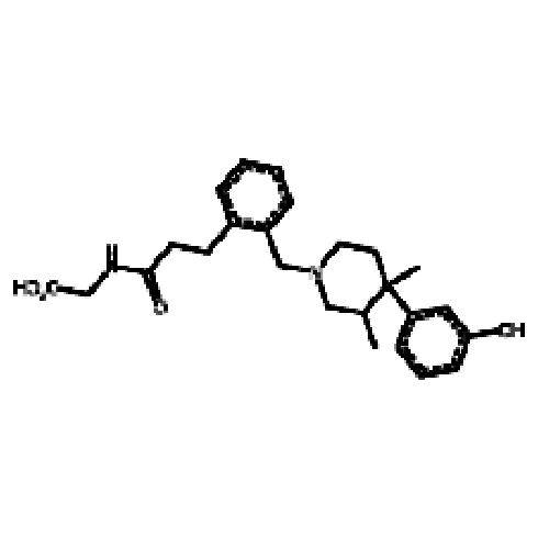 CC1CN(Cc2ccccc2CCC(=O)NCC(=O)O)CCC1(C)c1cccc(O)c1